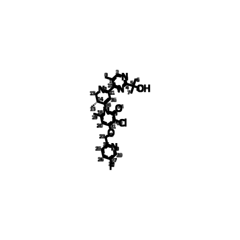 Cc1cnc(C(C)(C)O)nc1C1=NC[C@@H](C)C(n2c(C)cc(OCc3ccc(F)cn3)c(Cl)c2=O)=C1